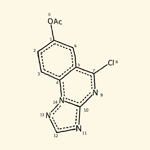 CC(=O)Oc1ccc2c(c1)c(Cl)nc1ncnn12